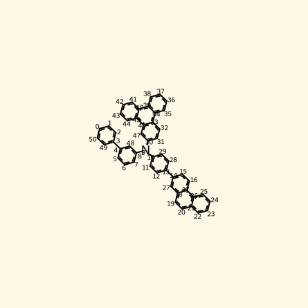 c1ccc(-c2cccc(N(c3ccc(-c4ccc5c(ccc6ccccc65)c4)cc3)c3ccc4c5ccccc5c5ccccc5c4c3)c2)cc1